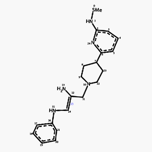 CSNc1cccc(C2CCN(C/C(N)=C/Nc3ccccc3)CC2)n1